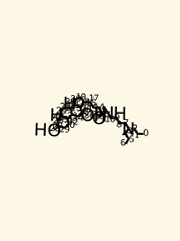 CCCN(CCC)CCCCNC(=O)CC[C@@H](C)C1CCC2[C@@H]3CC[C@@H]4C[C@H](O)CC[C@]4(C)C3C[C@H](O)[C@@]21C